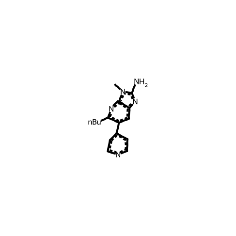 CCCCc1nc2c(cc1-c1ccncc1)nc(N)n2C